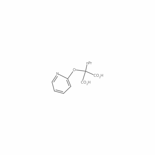 CCCC(Oc1ccccn1)(C(=O)O)C(=O)O